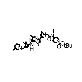 Cc1cn2c(-c3cnn(CC(=O)NC4CCN(C(=O)OC(C)(C)C)CC4)c3)cnc2c(Nc2cc(CN3CCCC(C)C3)ns2)n1